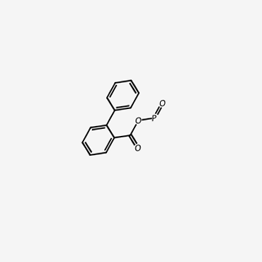 O=POC(=O)c1ccccc1-c1ccccc1